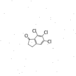 O=C1CCc2cc(Cl)c(Cl)c(Cl)c21